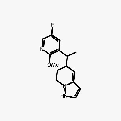 COc1ncc(F)cc1C(C)C1C=C2C=CNN2CC1